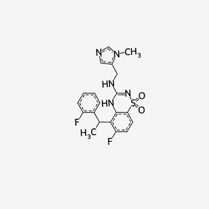 CC(c1ccccc1F)c1c(F)ccc2c1NC(NCc1cncn1C)=NS2(=O)=O